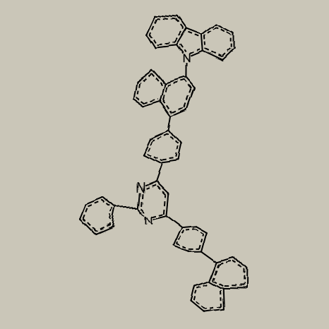 c1ccc(-c2nc(-c3ccc(-c4cccc5ccccc45)cc3)cc(-c3ccc(-c4ccc(-n5c6ccccc6c6ccccc65)c5ccccc45)cc3)n2)cc1